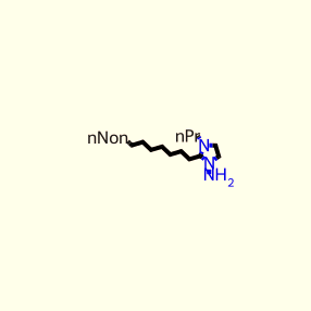 CCCCCCCCCCCCCCCCC1N(N)CCN1CCC